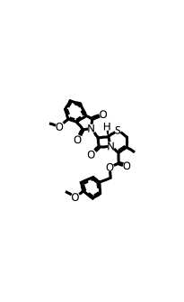 COc1ccc(COC(=O)C2=C(C)CS[C@H]3C(N4C(=O)c5cccc(OC)c5C4=O)C(=O)N23)cc1